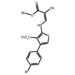 CCOC(=O)c1c(-c2ccc(Br)cc2)csc1NC=C(C#N)C(=O)OC(C)(C)C